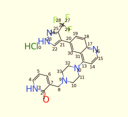 Cl.O=c1[nH]cccc1CN1CCN(c2ccnc3ccc(-c4c[nH]nc4C(F)(F)F)cc23)CC1